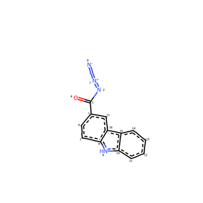 [N-]=[N+]=NC(=O)c1ccc2[nH]c3ccccc3c2c1